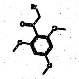 COc1cc(OC)c(C(=O)CBr)c(OC)c1